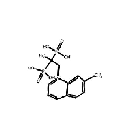 Cc1ccc2ccc[n+](CC(O)(P(=O)(O)O)P(=O)(O)O)c2c1